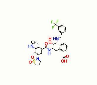 CNc1cc(C(=O)NC(Cc2ccccc2)C(O)CNCc2cccc(C(F)(F)F)c2)cc(N2CCCS2(=O)=O)c1.O=CO